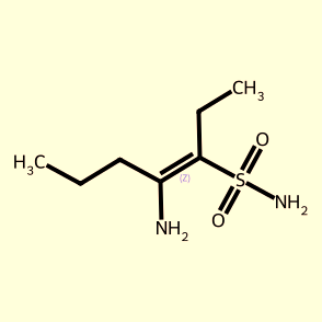 CCC/C(N)=C(\CC)S(N)(=O)=O